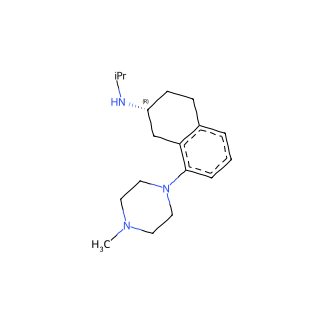 CC(C)N[C@@H]1CCc2cccc(N3CCN(C)CC3)c2C1